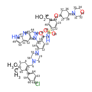 CC1(C)CCC(CN2CCN(c3ccc(C(=O)NS(=O)(=O)c4ccc(O[C@H]5CC[C@@H](N6CCOCC6)CC5)c(C(=O)O)c4)c(-n4ncc5nc6[nH]ccc6cc54)c3)CC2)=C(c2ccc(Cl)cc2)C1